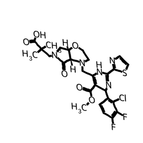 COC(=O)C1=C(CN2CCO[C@H]3CN(CC(C)(C)C(=O)O)C(=O)[C@H]32)NC(c2nccs2)=NC1c1ccc(F)c(F)c1Cl